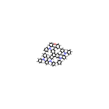 c1ccc(N2c3cc4c(cc3B3c5ccccc5Oc5cccc2c53)c2cc3c(cc2c2cc5c(cc42)B2c4ccccc4N(c4ccccc4)c4cccc(c42)N5c2ccccc2)N(c2ccccc2)c2cccc4c2B3c2ccccc2N4c2ccccc2)cc1